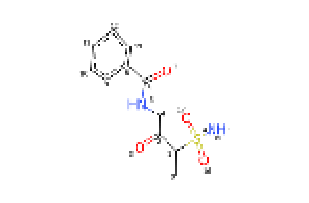 CC(C(=O)CNC(=O)c1ccccc1)S([NH])(=O)=O